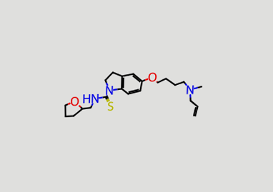 C=CCN(C)CCCCOc1ccc2c(c1)CCN2C(=S)NCC1CCCO1